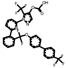 O=C(O)Oc1cnn(-c2cccc(-c3ccccc3C(F)(F)Oc3ccc(-c4ccc(C(F)(F)F)cc4)cc3)n2)c1C(F)(F)F